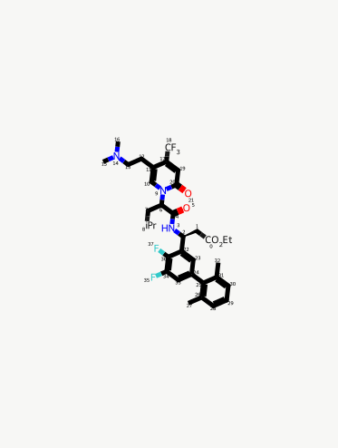 CCOC(=O)C[C@H](NC(=O)C(CC(C)C)n1cc(CCN(C)C)c(C(F)(F)F)cc1=O)c1cc(-c2c(C)cccc2C)cc(F)c1F